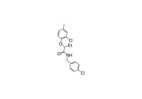 CCC(Oc1ccc(C)cc1Cl)C(=O)NCc1ccc(Cl)cc1